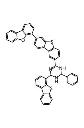 c1ccc(C2NC(c3ccc4sc5cc(-c6cccc7c6oc6ccccc67)ccc5c4c3)=NC(c3cccc4c3sc3ccccc34)N2)cc1